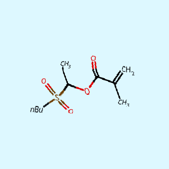 C=C(C)C(=O)OC(C)S(=O)(=O)CCCC